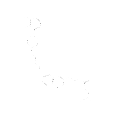 Cc1cccc(N2CCN(CCCCOc3ccc4c(c3)N=C(OCOC(=O)OCC(C)C(C)(C)C)CC4)CC2)c1Cl